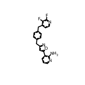 Nc1ncccc1-c1cc(Cc2ccc(Cc3ccnc(F)c3F)cc2)no1